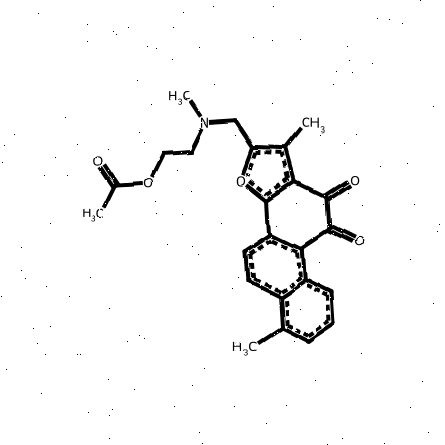 CC(=O)OCCN(C)Cc1oc2c(c1C)C(=O)C(=O)c1c-2ccc2c(C)cccc12